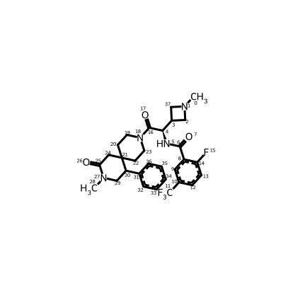 CN1CC([C@@H](NC(=O)c2cc(C(F)(F)F)ccc2F)C(=O)N2CCC3(CC2)CC(=O)N(C)CC3c2ccccc2)C1